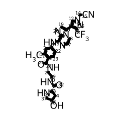 Cc1cc(Nc2nccn3c(-c4cn(CC#N)nc4C(F)(F)F)cnc23)ccc1C(=O)NCCNC(=O)[C@@H]1C[C@@H](O)CN1